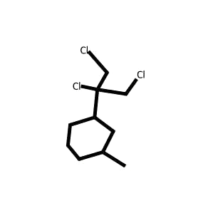 CC1CCCC(C(Cl)(CCl)CCl)C1